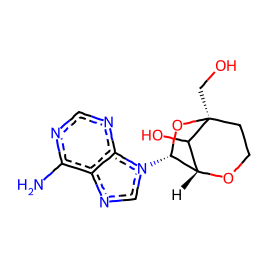 Nc1ncnc2c1ncn2[C@@H]1O[C@@]2(CO)CCO[C@H]1C2O